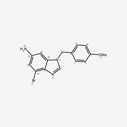 COc1ccc(Cn2cnc3c(Br)cc(N)cc32)cc1